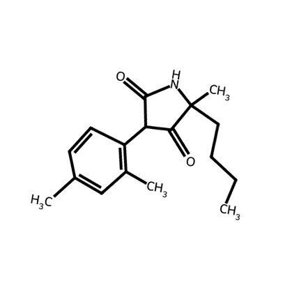 CCCCC1(C)NC(=O)C(c2ccc(C)cc2C)C1=O